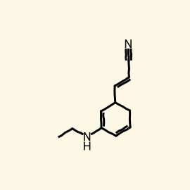 CCNC1=CC(C=CC#N)CC=C1